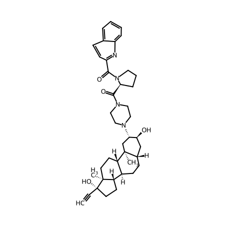 C#C[C@]1(O)CC[C@H]2[C@@H]3CC[C@H]4C[C@H](O)[C@@H](N5CCN(C(=O)[C@@H]6CCCN6C(=O)c6ccc7ccccc7n6)CC5)C[C@]4(C)[C@H]3CC[C@@]21C